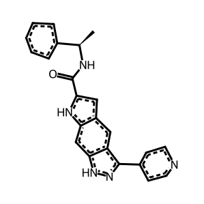 C[C@@H](NC(=O)c1cc2cc3c(-c4ccncc4)n[nH]c3cc2[nH]1)c1ccccc1